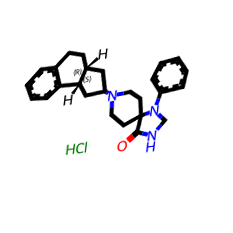 Cl.O=C1NCN(c2ccccc2)C12CCN(C1C[C@H]3CCc4ccccc4[C@H]3C1)CC2